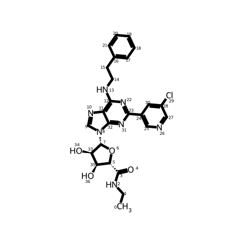 CCNC(=O)[C@H]1O[C@@H](n2cnc3c(NCCc4ccccc4)nc(-c4cncc(Cl)c4)nc32)[C@H](O)[C@@H]1O